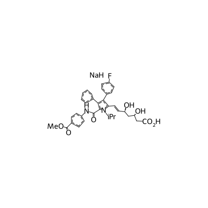 COC(=O)c1ccc(NC(=O)c2c(-c3ccccc3)c(-c3ccc(F)cc3)c(C=C[C@@H](O)C[C@@H](O)CC(=O)O)n2C(C)C)cc1.[NaH]